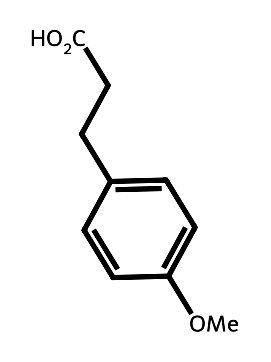 [CH2]Oc1ccc(CCC(=O)O)cc1